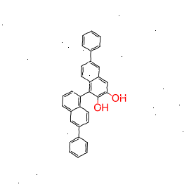 Oc1cc2cc(-c3ccccc3)ccc2c(-c2cccc3cc(-c4ccccc4)ccc23)c1O